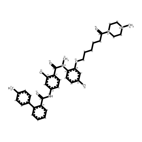 Cc1ccc(-c2ccccc2C(=O)Nc2ccc(C(=O)N(C)c3ccc(Cl)cc3OCCCCCC(=O)N3CCN(C)CC3)c(Cl)c2)cc1